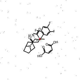 CC(=O)N(C)CC(=O)N1C2CCC1CC([C@H](N)Cc1cc(F)c(F)cc1F)C2.O=C(O)/C=C\C(=O)O